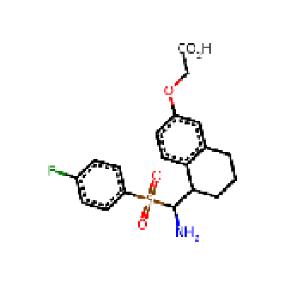 NC(C1CCCc2cc(OCC(=O)O)ccc21)S(=O)(=O)c1ccc(F)cc1